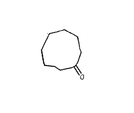 O=C1CCC[CH]CCC1